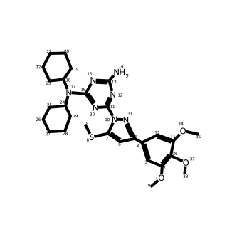 COc1cc(-c2cc(SC)n(-c3nc(N)nc(N(C4CCCCC4)C4CCCCC4)n3)n2)cc(OC)c1OC